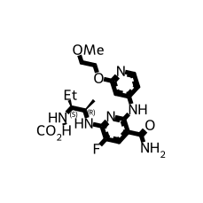 CC[C@H](NC(=O)O)[C@@H](C)Nc1nc(Nc2ccnc(OCCOC)c2)c(C(N)=O)cc1F